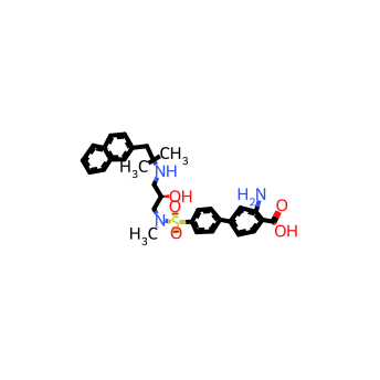 CN(C[C@H](O)CNC(C)(C)Cc1ccc2ccccc2c1)S(=O)(=O)c1ccc(-c2ccc(C(=O)O)c(N)c2)cc1